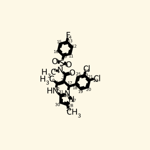 CC1=C(C(=O)N(C)S(=O)(=O)c2ccc(F)cc2)C(c2ccc(Cl)c(Cl)c2)n2nc(C)cc2N1